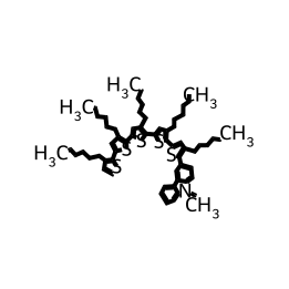 CCCCCCc1cc(-c2sc(-c3sc(-c4sc(-c5sccc5CCCCCC)cc4CCCCCC)cc3CCCCCC)cc2CCCCCC)sc1-c1ccc2c(c1)c1ccccc1n2CC